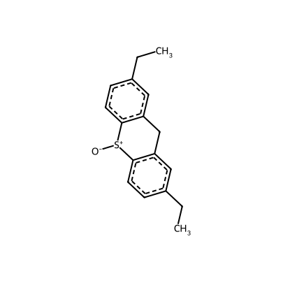 CCc1ccc2c(c1)Cc1cc(CC)ccc1[S+]2[O-]